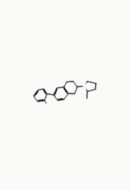 CC1CCCN1C1CCc2cc(-c3ccccc3Cl)ccc2C1